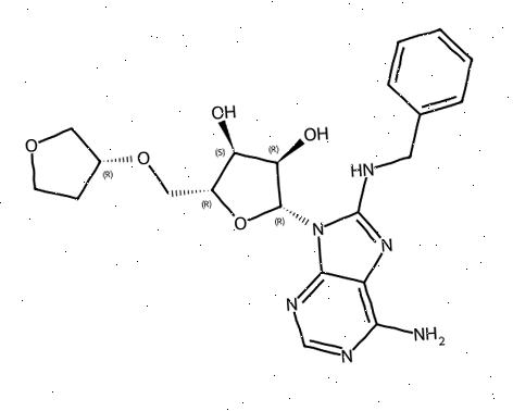 Nc1ncnc2c1nc(NCc1ccccc1)n2[C@@H]1O[C@H](CO[C@@H]2CCOC2)[C@@H](O)[C@H]1O